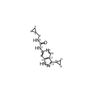 O=C(NCC1CC1)Nc1cc2[nH]nc(C3CC3)c2cn1